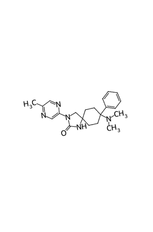 Cc1cnc(N2CC3(CCC(c4ccccc4)(N(C)C)CC3)NC2=O)cn1